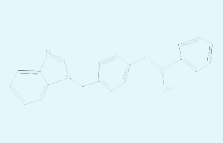 OB(Oc1ccc(Cn2cnc3ccccc32)cc1)c1ccccc1